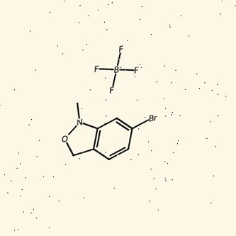 CN1OCc2ccc(Br)cc21.F[B-](F)(F)F